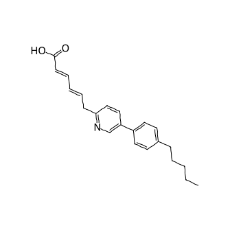 CCCCCc1ccc(-c2ccc(C/C=C/C=C/C(=O)O)nc2)cc1